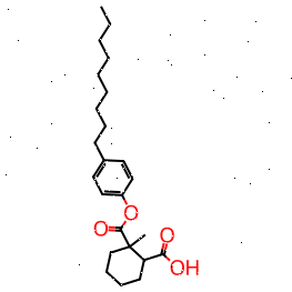 CCCCCCCCCc1ccc(OC(=O)C2(C)CCCCC2C(=O)O)cc1